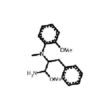 COc1ccccc1N(C)C(Cc1ccccc1)C(N)OC